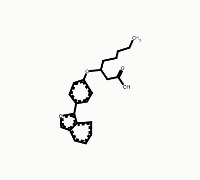 CCCCCC(CC(=O)O)Oc1ccc(-c2occ3ccccc23)cc1